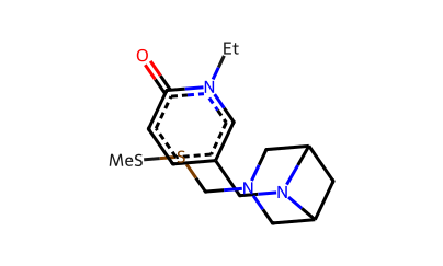 CCn1cc(CN2C3CC2CN(CSSC)C3)ccc1=O